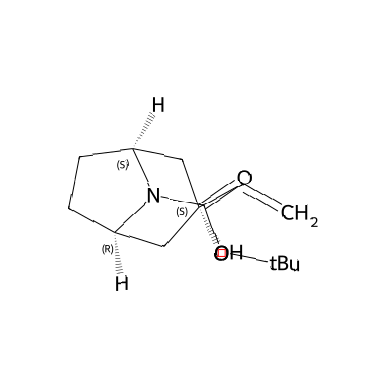 C=C[C@@]1(O)C[C@H]2CC[C@@H](C1)N2C(=O)OC(C)(C)C